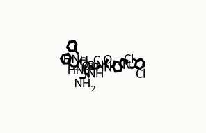 CN(CC(=O)N[C@@H](CCN)C(=O)N[C@@H](Cc1ccccc1)C(=O)NCc1ccccc1)C(=O)Nc1ccc2c(ccn2Cc2c(Cl)cccc2Cl)c1